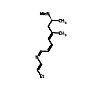 CCC=C\N=C/C=C\C=C(/C)C[C@@H](C)NC